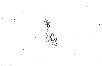 CC(C)(C)OC(=O)N1C(=O)C(CCCO[Si](C)(C)C(C)(C)C)CC1(C)C